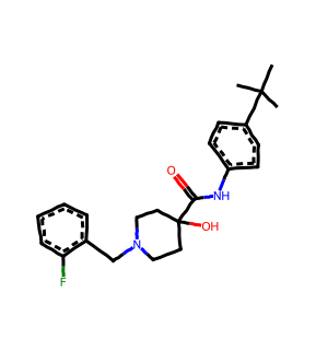 CC(C)(C)c1ccc(NC(=O)C2(O)CCN(Cc3ccccc3F)CC2)cc1